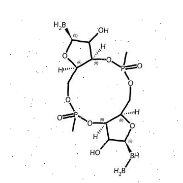 BB[C@@H]1O[C@@H]2COP(C)(=O)O[C@@H]3C(O)[C@H](B)O[C@@H]3COP(C)(=O)O[C@@H]2C1O